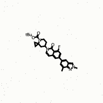 Cc1cc(-c2cc(F)c3c(=O)n(C4CCN(C(=O)OC(C)(C)C)C5(CC5)C4)ccc3c2)cc2cn(C)nc12